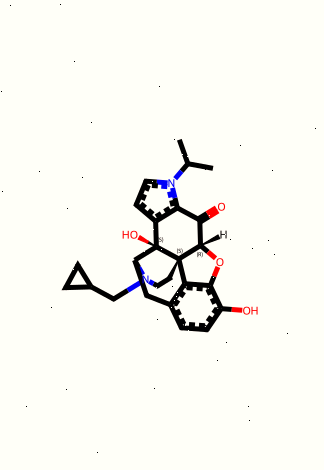 CC(C)n1ccc2c1C(=O)[C@@H]1Oc3c(O)ccc4c3[C@@]13CCN(CC1CC1)C(C4)[C@]23O